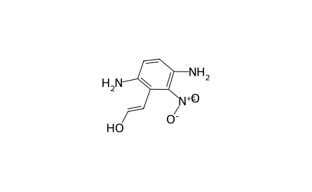 Nc1ccc(N)c([N+](=O)[O-])c1C=CO